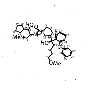 CNCC(NC(=O)N1CCCC(C(O)(CCCCOC)c2c(F)cccc2Oc2ccccc2)C1)C(O)C1CCCC1